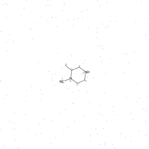 CC1CNCCN1C#N